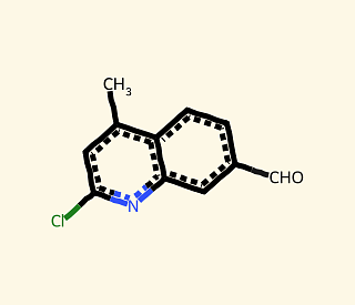 Cc1cc(Cl)nc2cc(C=O)ccc12